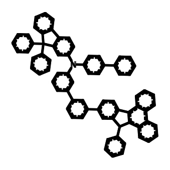 c1ccc(-c2ccc(N(c3cccc(-c4cccc(-c5ccc6c(c5)C(c5ccccc5)c5c-6c6ccccc6c6ccccc56)c4)c3)c3ccc4c(c3)C(c3ccccc3)(c3ccccc3)c3ccccc3-4)cc2)cc1